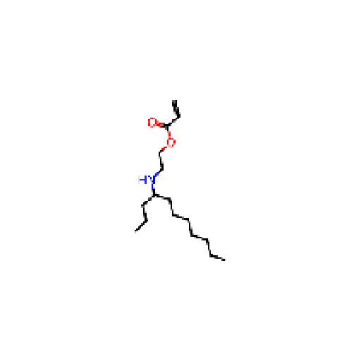 C=CC(=O)OCCNC(CCC)CCCCCCC